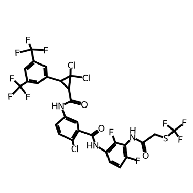 O=C(CSC(F)(F)F)Nc1c(F)ccc(NC(=O)c2cc(NC(=O)C3C(c4cc(C(F)(F)F)cc(C(F)(F)F)c4)C3(Cl)Cl)ccc2Cl)c1F